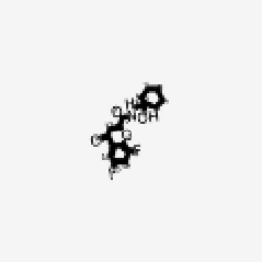 O=C(NCC1(O)CCCCC1)c1cc(=O)c2cc(F)cc(F)c2o1